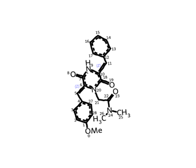 COc1ccc(/C=c2/c(=O)[nH]/c(=C\c3ccccc3)c(=O)n2CC(=O)N(C)C)cc1